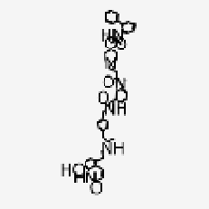 CC(Cc1ccc(CNC(=O)c2cccc(N(C)C(=O)CCN3CCC(OC(=O)Nc4ccccc4-c4ccccc4)CC3)c2)cc1)NCCc1ccc(O)c2[nH]c(=O)ccc12